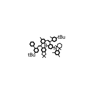 Cc1cc2c3c(c1)/C(=C/c1ccc(C(C)(C)C)cc1-c1ccccc1)c1cc4c(cc1B3c1ccc(N3c5c(C)cc(C)cc5C5(C)CCCCC35C)cc1C(c1ccc(C(C)(C)C)cc1C)=C2)CC(C)(C)C4